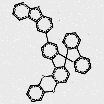 c1ccc2c(c1)Oc1ccc3c(c1O2)-c1ccc(-c2ccc4sc5ccccc5c4c2)cc1C31c2ccccc2-c2ccccc21